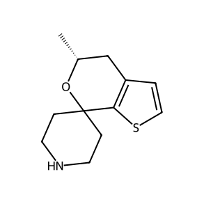 C[C@@H]1Cc2ccsc2C2(CCNCC2)O1